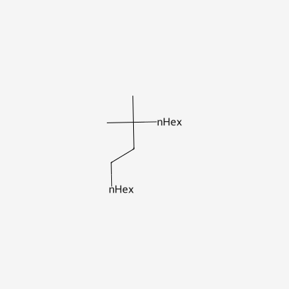 [CH2]CCCCCC(C)(C)CCCCCCCC